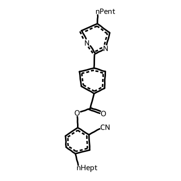 CCCCCCCc1ccc(OC(=O)c2ccc(-c3ncc(CCCCC)cn3)cc2)c(C#N)c1